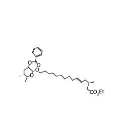 CCOC(=O)C[C@H](C)C/C=C/CCCCCCCCCO[C@@H]1OC(C)[C@H](C)CC1OC(=O)c1ccccc1